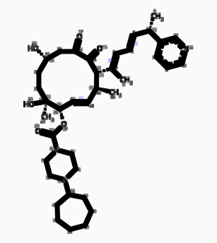 C/C(=C\C=C\[C@H](C)c1cccnc1)[C@H]1C(=O)C(=O)C[C@@H](O)CC[C@](C)(O)[C@@H](OC(=O)N2CCN(C3CCCCCC3)CC2)/C=C/[C@@H]1C